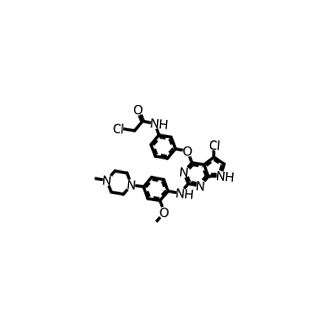 COc1cc(N2CCN(C)CC2)ccc1Nc1nc(Oc2cccc(NC(=O)CCl)c2)c2c(Cl)c[nH]c2n1